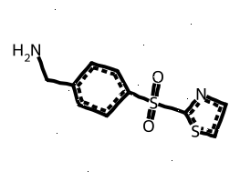 NCc1ccc(S(=O)(=O)c2nccs2)cc1